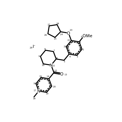 COc1ccc(CC2CCCCN2C(=O)c2cc[n+](C)cc2)cc1OC1CCCC1.[I-]